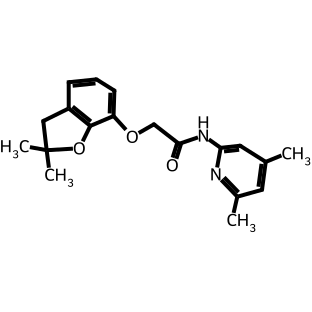 Cc1cc(C)nc(NC(=O)COc2cccc3c2OC(C)(C)C3)c1